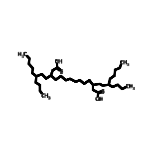 CCCCCC(CCCC)CCC(CCCCCCCCC(CCC(CCCC)CCCCC)CC(O)=S)CC(O)=S